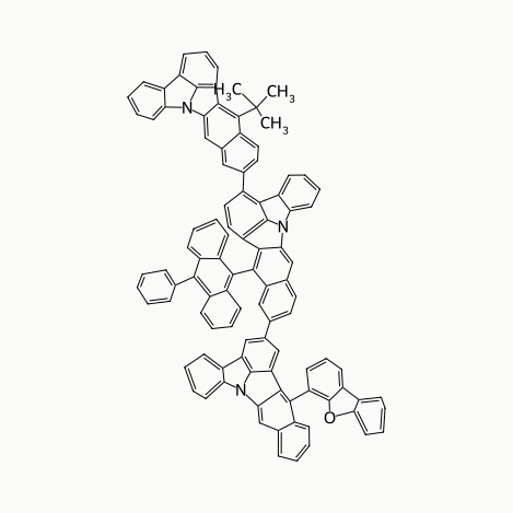 CC(C)(C)c1c2ccc(-c3ccc4c5c(-c6c7ccccc7c(-c7ccccc7)c7ccccc67)c6cc(-c7cc8c9ccccc9n9c%10cc%11ccccc%11c(-c%11cccc%12c%11oc%11ccccc%11%12)c%10c(c7)c89)ccc6cc5n5c6ccccc6c3c45)cc2cc2c1c1cccc3c4ccccc4n2c31